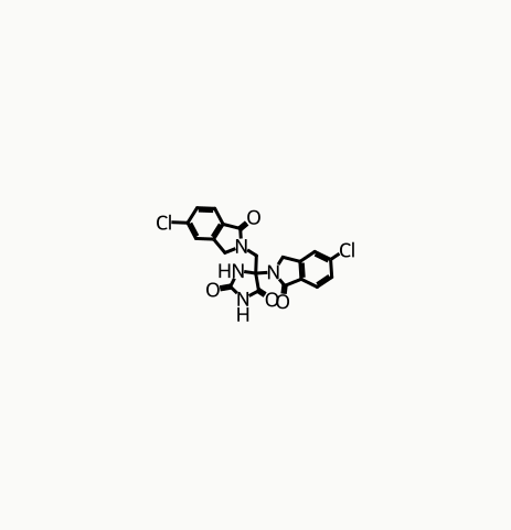 O=C1NC(=O)C(CN2Cc3cc(Cl)ccc3C2=O)(N2Cc3cc(Cl)ccc3C2=O)N1